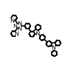 c1ccc(-n2c3ccccc3c3cc(-c4ccc(-n5c6ccccc6c6c(-c7cccc(-c8nc(-c9ccccn9)nc(-c9ccccn9)n8)c7)cccc65)cc4)ccc32)cc1